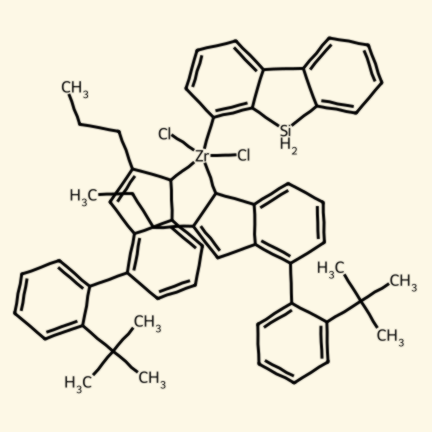 CCCC1=Cc2c(-c3ccccc3C(C)(C)C)cccc2[CH]1[Zr]([Cl])([Cl])([c]1cccc2c1[SiH2]c1ccccc1-2)[CH]1C(CCC)=Cc2c(-c3ccccc3C(C)(C)C)cccc21